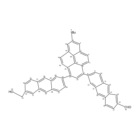 CC(C)(C)c1cc2ccc3c(-c4ccc5cc6cc(C=O)ccc6cc5c4)cc(-c4ccc5cc6cc(CO)ccc6cc5c4)c4ccc(c1)c2c34